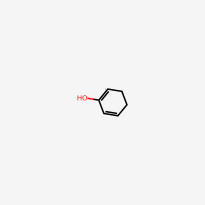 OC1=[C]CCC=C1